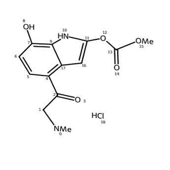 CNCC(=O)c1ccc(O)c2[nH]c(OC(=O)OC)cc12.Cl